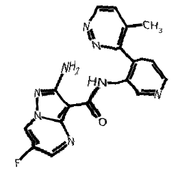 Cc1ccnnc1-c1ccncc1NC(=O)c1c(N)nn2cc(F)cnc12